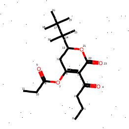 CCCC(=O)C1=C(OC(=O)CC)CC(C(C)(C)C(C)(C)C)OC1=O